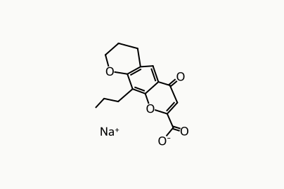 CCCc1c2c(cc3c(=O)cc(C(=O)[O-])oc13)CCCO2.[Na+]